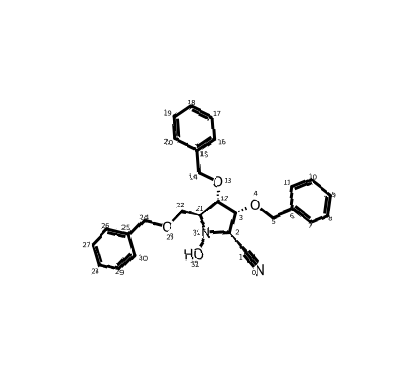 N#C[C@@H]1[C@@H](OCc2ccccc2)[C@@H](OCc2ccccc2)[C@H](COCc2ccccc2)N1O